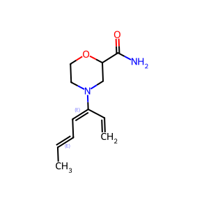 C=C/C(=C\C=C\C)N1CCOC(C(N)=O)C1